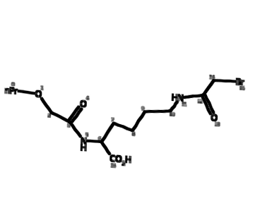 CCCOCC(=O)NC(CCCCNC(=O)CBr)C(=O)O